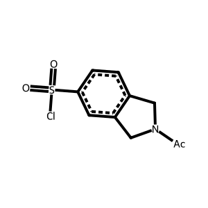 CC(=O)N1Cc2ccc(S(=O)(=O)Cl)cc2C1